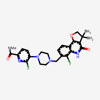 BC1(B)COc2c1c(=O)[nH]c1c(F)c(CN3CCN(c4ccc(C(=O)NC)nc4F)CC3)ccc21